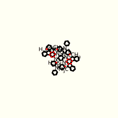 CC1(C)c2ccccc2-c2ccc(N3c4cccc5c4[Si]4(C)c6c(cccc6N(c6ccc7c(c6)C(C)(C)c6ccccc6-7)c6c7c8c(c3c64)N(c3ccc4c(c3)C(C)(C)c3ccccc3-4)c3cccc4c3[Si]8(C)c3c(cccc3N7c3ccc6c(c3)C(C)(C)c3ccccc3-6)N4c3ccccc3)N5c3ccccc3)cc21